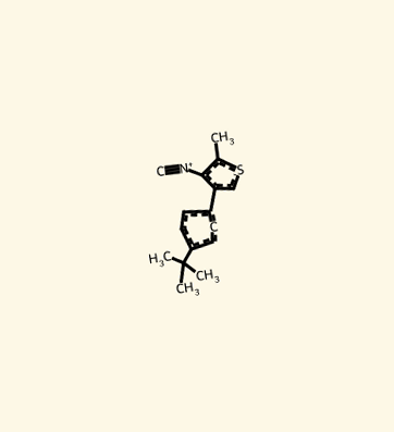 [C-]#[N+]c1c(-c2ccc(C(C)(C)C)cc2)csc1C